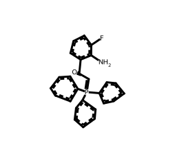 Nc1c(F)cccc1C(=O)C=P(c1ccccc1)(c1ccccc1)c1ccccc1